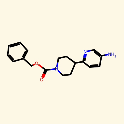 Nc1ccc(C2CCN(C(=O)OCc3ccccc3)CC2)nc1